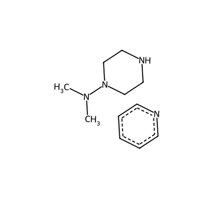 CN(C)N1CCNCC1.c1ccncc1